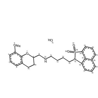 COc1cccc2c1OC(CNCCCCN1c3cccc4cccc(c34)S1(=O)=O)CC2.Cl